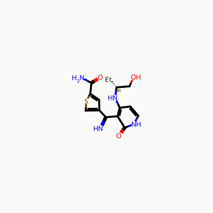 CC[C@H](CO)Nc1cc[nH]c(=O)c1C(=N)c1csc(C(N)=O)c1